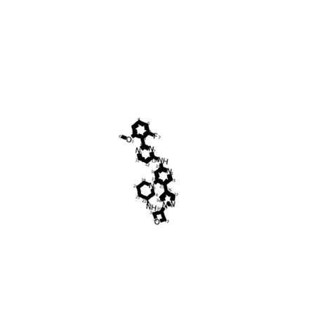 COc1cccc(F)c1-c1nccc(Nc2cc(N3CCC[C@H](N)C3)c(-c3cnn(C4COC4)c3)cn2)n1